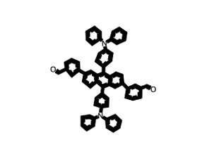 O=Cc1cccc(-c2ccc3c(-c4ccc(N(c5ccccc5)c5ccccc5)cc4)c4cc(-c5cccc(C=O)c5)ccc4c(-c4ccc(N(c5ccccc5)c5ccccc5)cc4)c3c2)c1